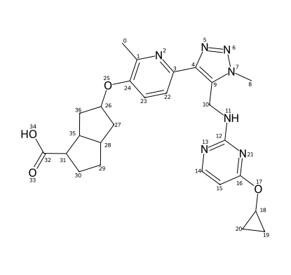 Cc1nc(-c2nnn(C)c2CNc2nccc(OC3CC3)n2)ccc1OC1CC2CCC(C(=O)O)C2C1